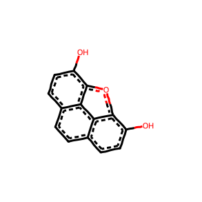 Oc1ccc2ccc3ccc(O)c4oc1c2c34